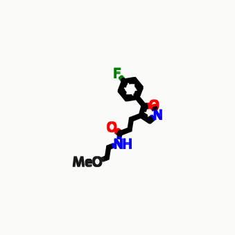 COCCNC(=O)CCc1cnoc1-c1ccc(F)cc1